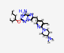 CCCC(CC)Oc1nc(N)c2nc(Cc3cnc(N4CCC(N(C)C)CC4)c(C)c3)cn2n1